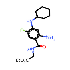 CCOC(=O)CNC(=O)c1cc(F)c(NC2CCCCC2)cc1N